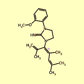 C=C(C)/C(=C(/C)C=C(C)C)N1CCN(c2ccccc2OC)C1=N